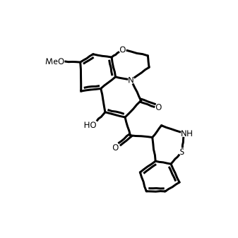 COc1cc2c3c(c1)c(O)c(C(=O)C1CNSc4ccccc41)c(=O)n3CCO2